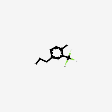 C[CH]Cc1ccc(C)c(C(F)(F)F)c1